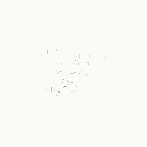 COC(=O)[C@H](COC(C)(C)C)NC(=O)[C@@H]1C[C@H](N)CN1C(=O)Nc1cn(C(N)=O)c2ccccc12